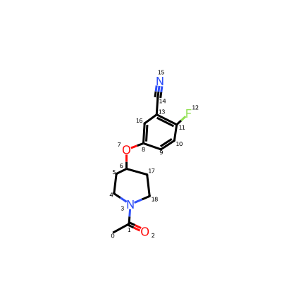 CC(=O)N1CCC(Oc2ccc(F)c(C#N)c2)CC1